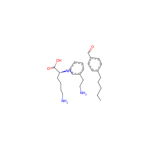 CCCCCc1ccc(C=O)cc1.NCCCC[C@H](N)C(=O)O.NCCc1ccccc1